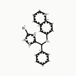 Brc1nnc(C(Oc2ccc3ncccc3c2)c2ccccc2)o1